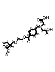 CCC(C)(COCCOC(=O)c1ccc(CN(CC(=O)O)CC(=O)O)cc1)C(=O)OC